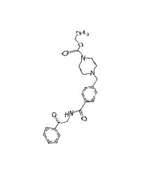 CCOC(=O)N1CCN(Cc2ccc(C(=O)NCC(=O)c3ccccc3)cc2)CC1